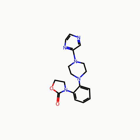 O=C1OCCN1c1ccccc1N1CCN(c2cnccn2)CC1